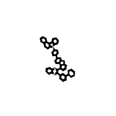 C1=CCC(c2cccc(-c3nc4ccccc4nc3-c3cccc4c3-c3ccc(-c5ccc(-n6c7ccccc7c7c8ccccc8ccc76)cc5)cc3C4)c2)CC1